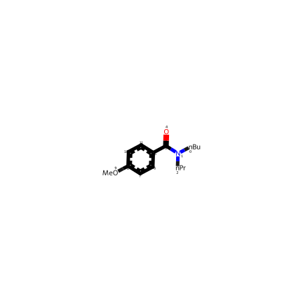 CCCCN(CCC)C(=O)c1ccc(OC)cc1